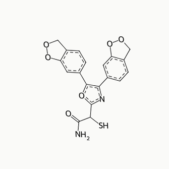 NC(=O)C(S)c1nc(-c2ccc3c(c2)OOC3)c(-c2ccc3c(c2)OOC3)o1